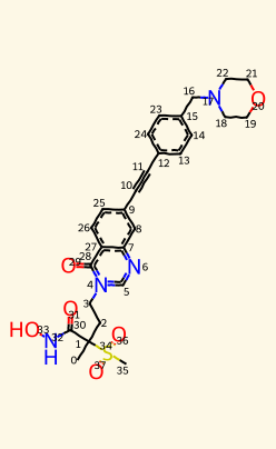 CC(CCn1cnc2cc(C#Cc3ccc(CN4CCOCC4)cc3)ccc2c1=O)(C(=O)NO)S(C)(=O)=O